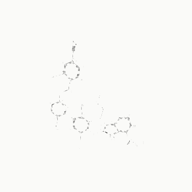 COCCn1c(Cc2cc(F)c(-c3nc(OCc4ccc(C#N)cc4F)ccc3F)cc2F)nc2c(C(=O)O)cccc21